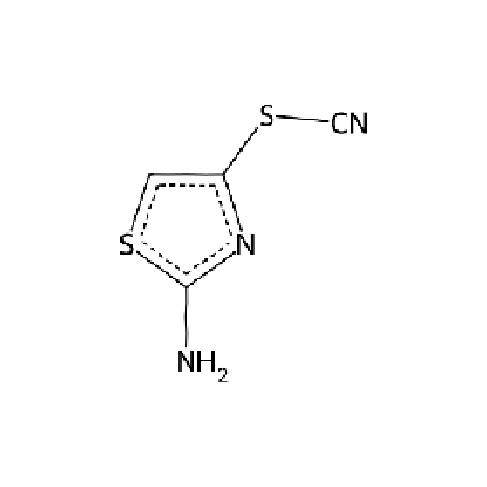 N#CSc1csc(N)n1